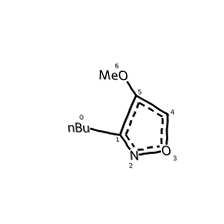 CCCCc1nocc1OC